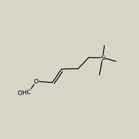 C[Si](C)(C)CCC=COC=O